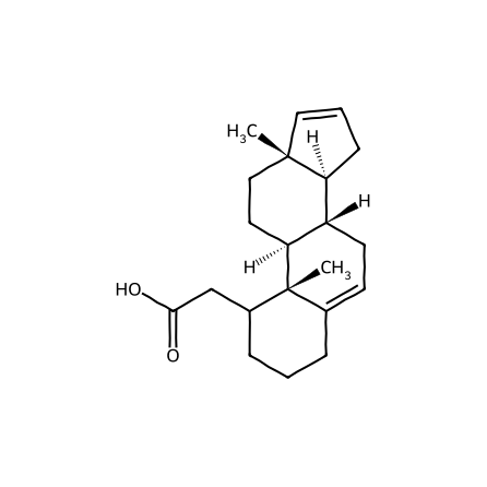 C[C@@]12C=CC[C@H]1[C@@H]1CC=C3CCCC(CC(=O)O)[C@]3(C)[C@H]1CC2